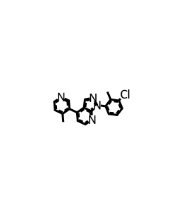 Cc1ccncc1-c1ccnc2c1cnn2-c1cccc(Cl)c1C